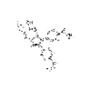 CCC(Sc1nc(-c2ccc(OC)cc2)c(-c2ccc(OC)cc2)o1)C(=O)O